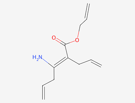 C=CCOC(=O)/C(CC=C)=C(\N)CC=C